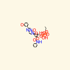 CCCOP(=O)(O)OP(=O)(O)OC[C@H]1O[C@@H](n2ccc3nc(-c4cccc(OC)c4)cn3c2=O)C[C@H]1OC(=O)Nc1ccccc1